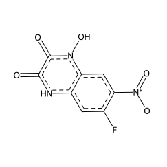 O=c1[nH]c2cc(F)c([N+](=O)[O-])cc2n(O)c1=O